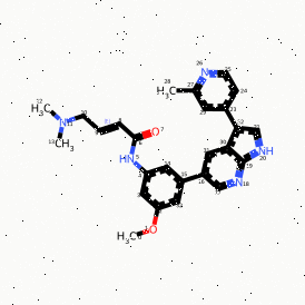 COc1cc(NC(=O)/C=C/CN(C)C)cc(-c2cnc3[nH]cc(-c4ccnc(C)c4)c3c2)c1